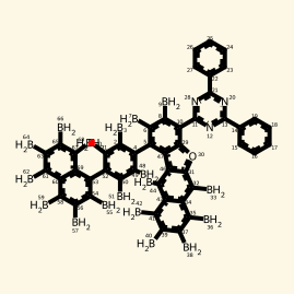 Bc1c(B)c(-c2c(B)c(B)c(-c3nc(-c4ccccc4)nc(-c4ccccc4)n3)c3oc4c(B)c5c(B)c(B)c(B)c(B)c5c(B)c4c23)c(B)c(B)c1-c1c(B)c(B)c(B)c2c(B)c(B)c(B)c(B)c12